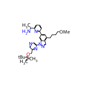 COCCCCc1cc(-c2cccc([C@H](C)N)n2)cc2c1cnn2-c1cncc(CO[Si](C)(C)C(C)(C)C)n1